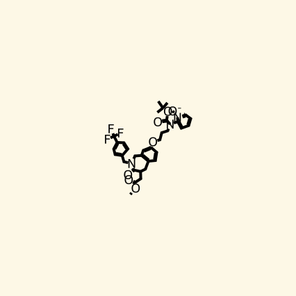 COC(=O)CC1Cc2ccc(OCCCN(C(=O)OC(C)(C)C)c3cccc[n+]3[O-])cc2CN(Cc2ccc(C(F)(F)F)cc2)C1=O